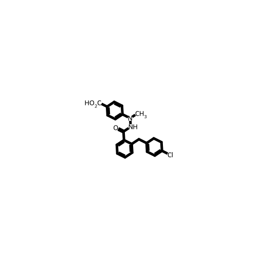 CN(NC(=O)c1ccccc1CC1=CC=C(Cl)CC1)c1ccc(C(=O)O)cc1